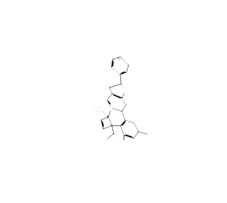 CCC12C=CC1(C(C)I)C1=C(CC(C)C=C1C)C1CC3=C(C=[N+]12)CC(C1=CC[C@@H](C)C=C1)S3